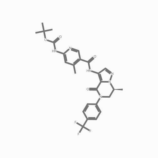 Cc1cc(NC(=O)OC(C)(C)C)ncc1C(=O)Nc1cnn2c1C(=O)N(c1ccc(C(F)(F)F)cc1)C[C@@H]2C